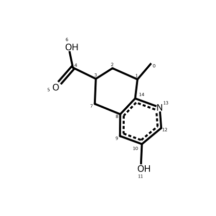 CC1CC(C(=O)O)Cc2cc(O)cnc21